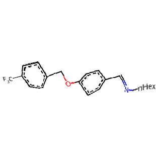 CCCCCCN=Cc1ccc(OCc2ccc(C(F)(F)F)cc2)cc1